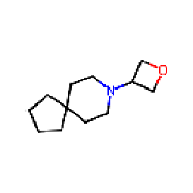 [CH]1CCC2(C1)CCN(C1COC1)CC2